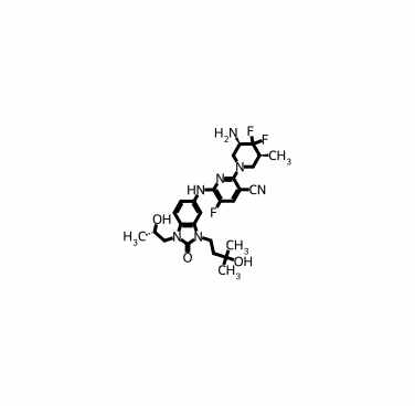 C[C@H](O)Cn1c(=O)n(CCC(C)(C)O)c2cc(Nc3nc(N4C[C@@H](N)C(F)(F)[C@@H](C)C4)c(C#N)cc3F)ccc21